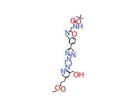 CCOC(=O)CCc1cnc(N2CCN(c3ncc(-c4cccc(CN(C)C(=O)CNC(=O)OC(C)(C)C)c4)cn3)CC2)c(CO)c1